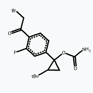 CC(C)(C)C1CC1(OC(N)=O)c1ccc(C(=O)CBr)c(F)c1